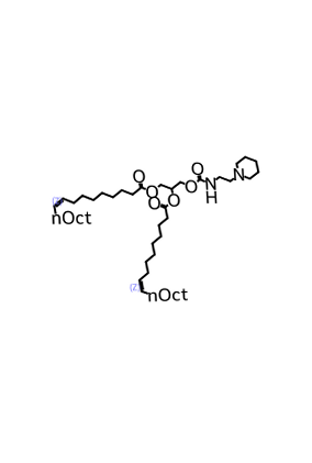 CCCCCCCC/C=C\CCCCCCCC(=O)OCC(COC(=O)NCCN1CCCCC1)OC(=O)CCCCCCC/C=C\CCCCCCCC